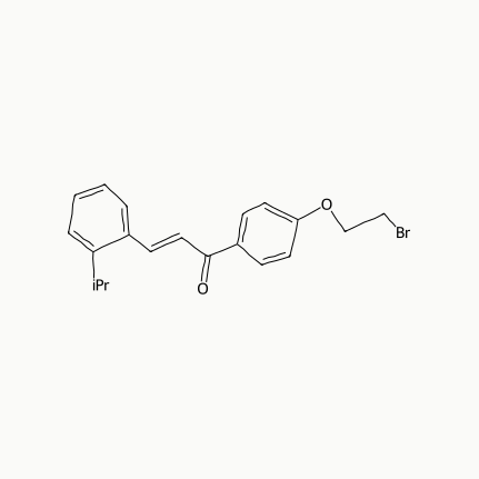 CC(C)c1ccccc1C=CC(=O)c1ccc(OCCBr)cc1